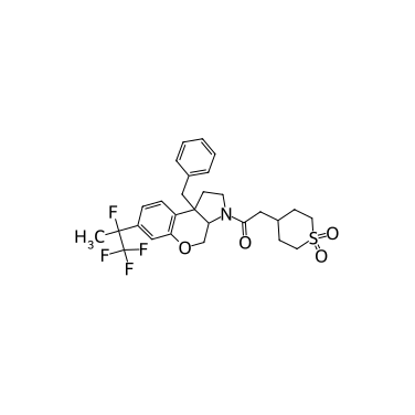 CC(F)(c1ccc2c(c1)OCC1N(C(=O)CC3CCS(=O)(=O)CC3)CCC21Cc1ccccc1)C(F)(F)F